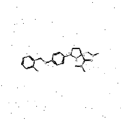 COC[C@@]1(C(=O)N(C)C)CC[C@H](c2ccc(OCc3ccccc3F)cc2)N1